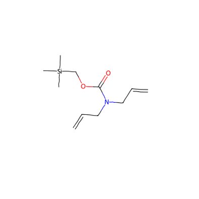 C=CCN(CC=C)C(=O)OC[Si](C)(C)C